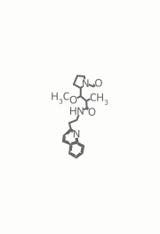 COC(C(C)C(=O)NCCc1ccc2ccccc2n1)C1CCCN1C=O